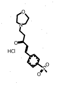 CS(=O)(=O)c1ccc(C=CC(=O)CCN2CCOCC2)cc1.Cl